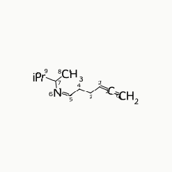 C=C=CCC/C=N\C(C)C(C)C